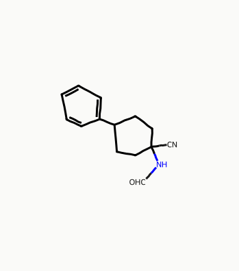 N#CC1(NC=O)CCC(c2ccccc2)CC1